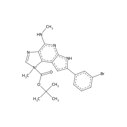 CNc1nc2[nH]c(-c3cccc(Br)c3)cc2c2c1N=C[N+]2(C)C(=O)OC(C)(C)C